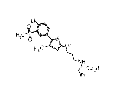 Cc1nc(NCCCN[C@@H](CC(C)C)C(=O)O)sc1-c1ccc(Cl)c(S(C)(=O)=O)c1